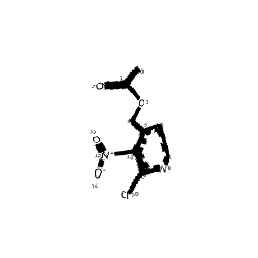 CC(=O)OCc1ccnc(Cl)c1[N+](=O)[O-]